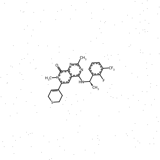 Cc1nc(N[C@H](C)c2cccc(C(F)(F)F)c2F)c2cc(C3=CCSCC3)n(C)c(=O)c2n1